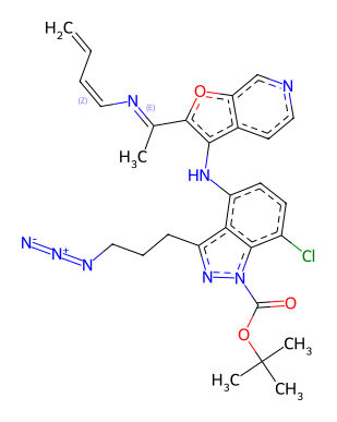 C=C/C=C\N=C(/C)c1oc2cnccc2c1Nc1ccc(Cl)c2c1c(CCCN=[N+]=[N-])nn2C(=O)OC(C)(C)C